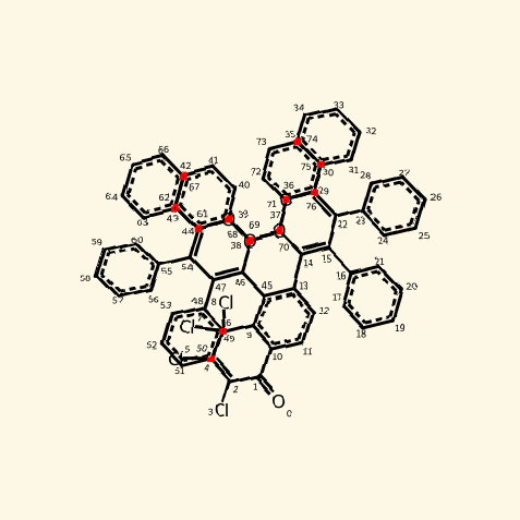 O=C1C(Cl)=C(Cl)C(Cl)(Cl)c2c1ccc(C1=C(c3ccccc3)C(c3ccccc3)=C(c3ccccc3)OC1Oc1ccccc1)c2C1=C(c2ccccc2)C(c2ccccc2)=C(c2ccccc2)OC1Oc1ccccc1